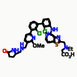 CCN(CC(=O)O)Cc1nc2c(Nc3cccc(-c4cccc(-c5ccc(CNCC6CCC(=O)N6)c(OC)n5)c4Cl)c3Cl)nccc2s1